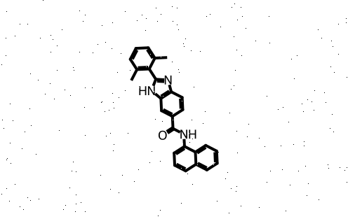 Cc1cccc(C)c1-c1nc2ccc(C(=O)Nc3cccc4ccccc34)cc2[nH]1